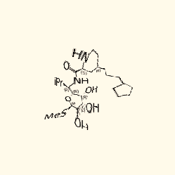 CS[C@H]1O[C@H]([C@H](NC(=O)[C@@H]2C[C@H](CCCC3CCCC3)CCN2)C(C)C)[C@H](O)[C@H](O)[C@H]1O